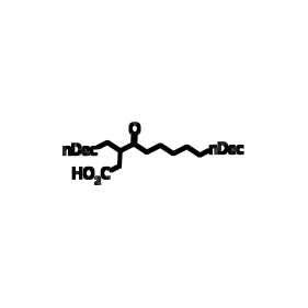 CCCCCCCCCCCCCCCC(=O)C(CCCCCCCCCCC)CC(=O)O